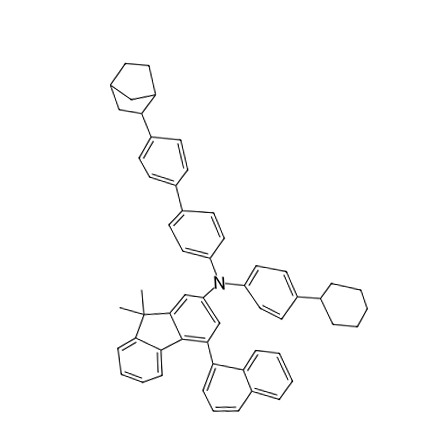 CC1(C)c2ccccc2-c2c(-c3cccc4ccccc34)cc(N(c3ccc(-c4ccc(C5CC6CCC5C6)cc4)cc3)c3ccc(C4CCCCC4)cc3)cc21